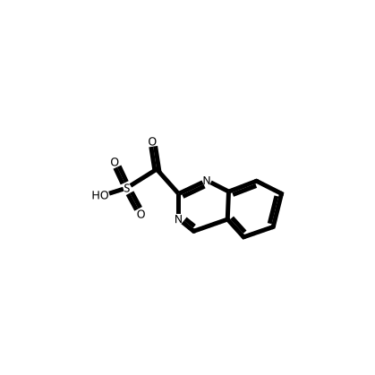 O=C(c1ncc2ccccc2n1)S(=O)(=O)O